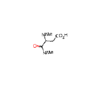 CNC(=O)C(CC(=O)O)NC